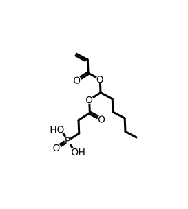 C=CC(=O)OC(CCCCC)OC(=O)CCP(=O)(O)O